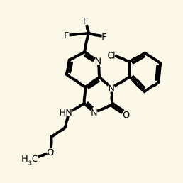 COCCNc1nc(=O)n(-c2ccccc2Cl)c2nc(C(F)(F)F)ccc12